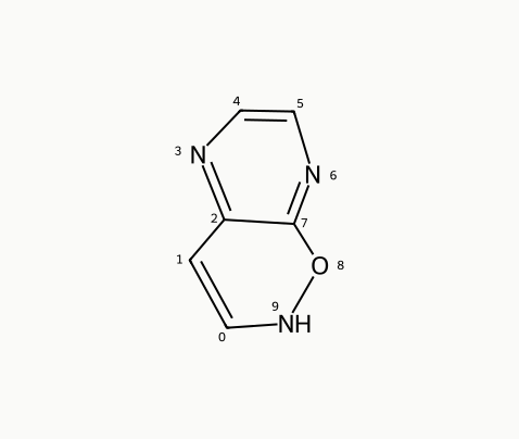 C1=Cc2nccnc2ON1